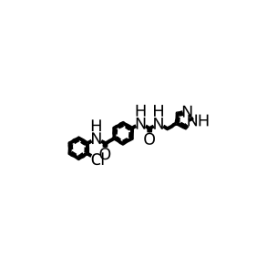 O=C(NCc1cn[nH]c1)Nc1ccc(C(=O)Nc2ccccc2Cl)cc1